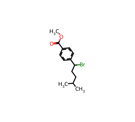 COC(=O)c1ccc(C(Br)CCC(C)C)cc1